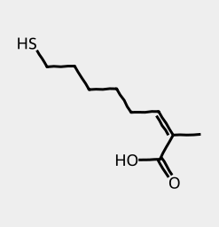 CC(=CCCCCCS)C(=O)O